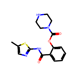 Cc1cnc(NC(=O)c2ccccc2OC(=O)N2CCNCC2)s1